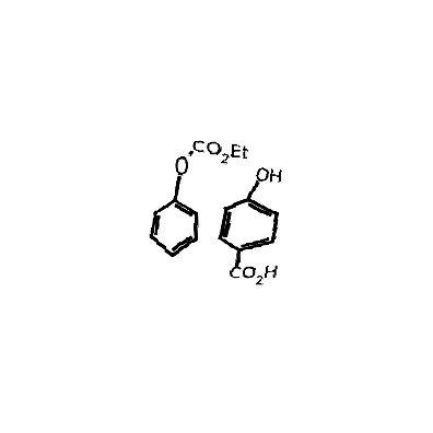 CCOC(=O)Oc1ccccc1.O=C(O)c1ccc(O)cc1